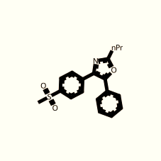 CCCc1nc(-c2ccc(S(C)(=O)=O)cc2)c(-c2ccccc2)o1